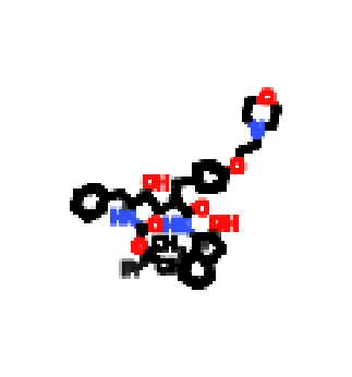 CC(C)C(C)(C)OC(=O)N[C@@H](Cc1ccccc1)[C@@H](O)C[C@@H](Cc1ccc(OCCN2CCOCC2)cc1)C(=O)N[C@H]1c2ccccc2C[C@H]1O